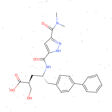 CN(C)C(=O)c1cc(C(=O)N[C@H](Cc2ccc(-c3ccccc3)cc2)C[C@@H](CO)C(=O)O)[nH]n1